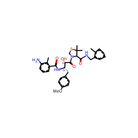 COc1ccc(C[C@H](NC(=O)c2cccc(N)c2C)[C@H](O)C(=O)N2CSC(C)(C)C2C(=O)NCc2ccccc2C)cc1